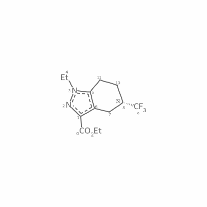 CCOC(=O)c1nn(CC)c2c1C[C@@H](C(F)(F)F)CC2